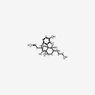 C=CCN1CC[C@@]23c4c5ccc(O)c4O[C@@H]2C(NCCO)CC[C@]3(O)[C@@H]1C5